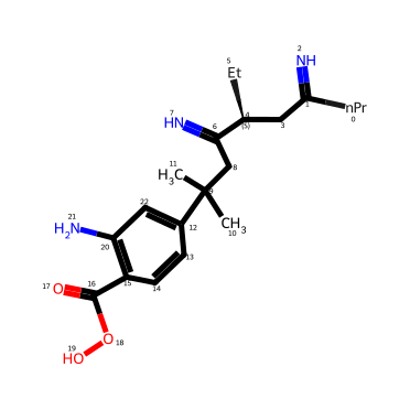 CCCC(=N)C[C@H](CC)C(=N)CC(C)(C)c1ccc(C(=O)OO)c(N)c1